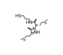 C=C(NCCCS)[C@H](CCSC)N1N[C@@H](CCSC)C1=C